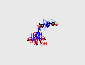 CCc1cc(Nc2nccn3c(-c4ccc(OC)c(F)c4F)cnc23)ccc1C(=O)NCCCNC(=O)C(CN/C(=N\C(=O)OC(C)(C)C)NC(=O)OC(C)(C)C)NC(=O)[C@H](CCCO)NC(=O)OC(C)(C)C